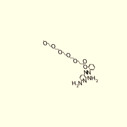 COCCOCCOCCOCCOCCC(=O)Oc1ccccc1/N=N/c1ccc(N)nc1N